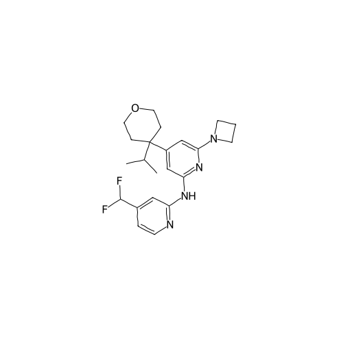 CC(C)C1(c2cc(Nc3cc(C(F)F)ccn3)nc(N3CCC3)c2)CCOCC1